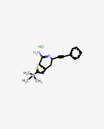 C[Si](C)(C)c1cc2c(s1)C(N)=NC(C#Cc1ccccc1)C2.Cl